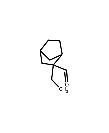 CCC1(C=O)CC2CCC1C2